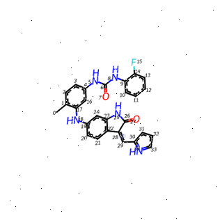 Cc1ccc(NC(=O)Nc2ccccc2F)cc1Nc1ccc2c(c1)NC(=O)/C2=C\c1ccc[nH]1